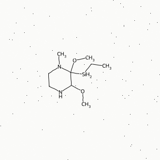 CC[SiH2]C1(OC)C(OC)NCCN1C